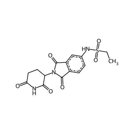 CCS(=O)(=O)Nc1ccc2c(c1)C(=O)N(C1CCC(=O)NC1=O)C2=O